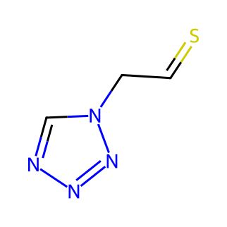 S=CCn1cnnn1